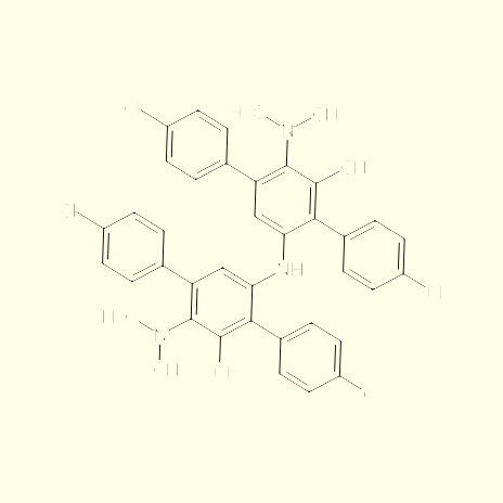 Cc1c(-c2ccc(Cl)cc2)c(Nc2cc(-c3ccc(Cl)cc3)c(N(C)C)c(C)c2-c2ccc(Cl)cc2)cc(-c2ccc(Cl)cc2)c1N(C)C